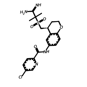 CC(C)(C(=N)N)S(=O)(=O)C[C@H]1CCOc2ccc(NC(=O)c3ccc(Cl)cn3)cc21